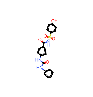 O=C(Nc1ccccc1)Nc1ccc(C(=O)NS(=O)(=O)c2ccc(O)cc2)cc1